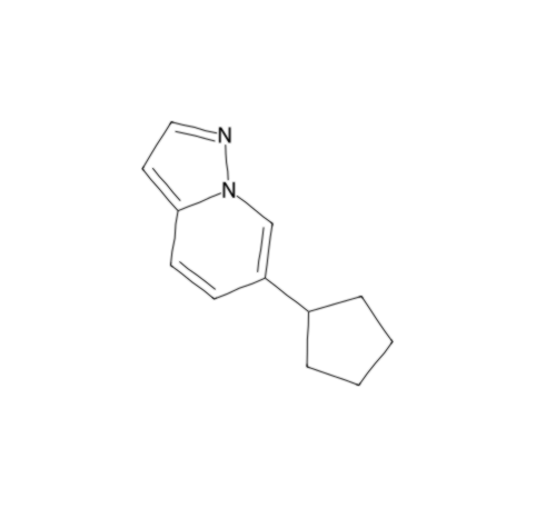 c1cc2ccc(C3CCCC3)cn2n1